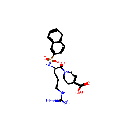 N=C(N)NCCCC(NS(=O)(=O)c1ccc2ccccc2c1)C(=O)N1CCC(C(=O)O)CC1